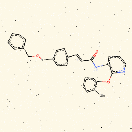 CC(C)(C)c1ccccc1Oc1ncccc1NC(=O)/C=C/c1ccc(COCc2ccccc2)cc1